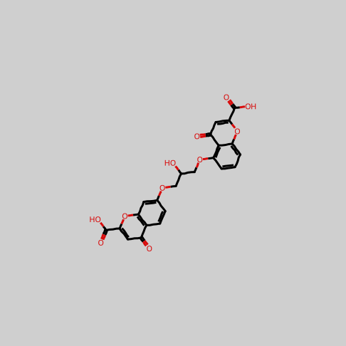 O=C(O)c1cc(=O)c2ccc(OCC(O)COc3cccc4oc(C(=O)O)cc(=O)c34)cc2o1